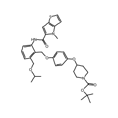 CC(C)OCc1cccc(NC(=O)c2cc3sccc3n2C)c1COc1ccc(OC2CCN(C(=O)OC(C)(C)C)CC2)cc1